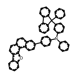 c1ccc(N(c2ccc(-c3ccc4c(ccc5ccc6c7ccccc7oc6c54)c3)cc2)c2cccc(C3(c4ccccc4)c4ccccc4-c4ccccc43)c2)cc1